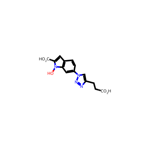 O=C(O)CCc1cn(-c2ccc3cc(C(=O)O)n(O)c3c2)nn1